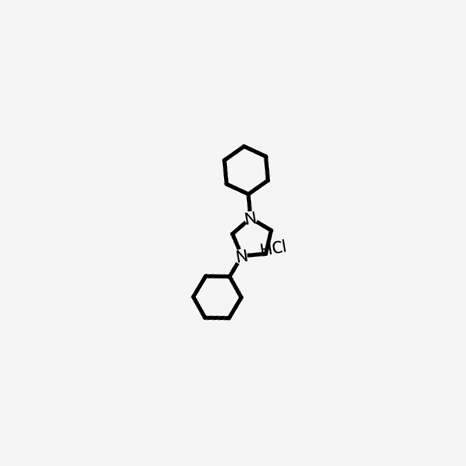 C1CCC(N2CCN(C3CCCCC3)C2)CC1.Cl